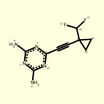 Nc1nc(N)nc(C#CC2(C(F)F)CC2)n1